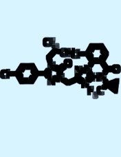 O=C(NC1(C(F)(F)F)CC1)c1cccc(Cl)c1-n1cnc(Cn2nc(-c3ccc(Cl)cc3)n(C[C@@H](O)C(F)(F)F)c2=O)n1